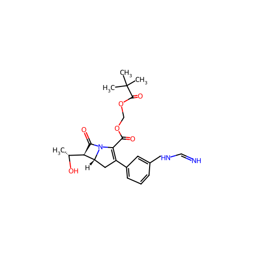 C[C@@H](O)[C@H]1C(=O)N2C(C(=O)OCOC(=O)C(C)(C)C)=C(c3cccc(CNC=N)c3)C[C@H]12